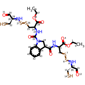 CCOC(=O)C(CSSN[C@H](C=O)CS)NC(=O)C1CN(C(=O)NC(CSSN[C@H](C=O)CS)C(=O)OCC)c2ccccc21